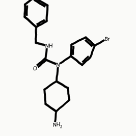 NC1CCC(N(C(=O)NCc2ccccc2)c2ccc(Br)cc2)CC1